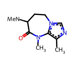 CNC1CCn2cnc(C)c2N(C)C1=O